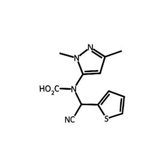 Cc1cc(N(C(=O)O)C(C#N)c2cccs2)n(C)n1